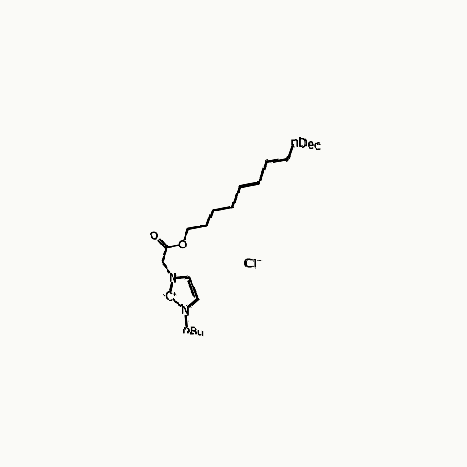 CCCCCCCCCCCCCCCCCCOC(=O)CN1[C+]N(CCCC)C=C1.[Cl-]